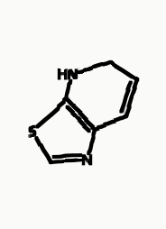 C1=Cc2ncsc2NC1